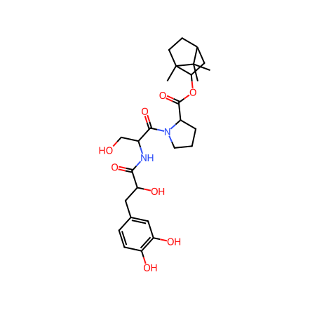 CC1(C)C2CCC1(C)C(OC(=O)C1CCCN1C(=O)C(CO)NC(=O)C(O)Cc1ccc(O)c(O)c1)C2